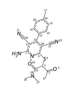 CC(=O)C(Sc1nc(N)c(C#N)c(-c2ccc(C)cc2)c1C#N)C(=O)N(C)C